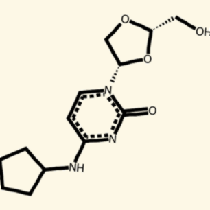 O=c1nc(NC2CCCC2)ccn1[C@@H]1CO[C@H](CO)O1